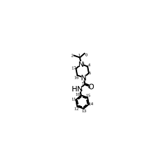 CC(C)N1CCN(C(=O)Nc2ccccc2)CC1